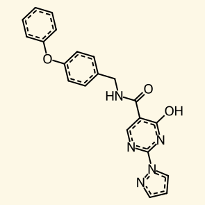 O=C(NCc1ccc(Oc2ccccc2)cc1)c1cnc(-n2cccn2)nc1O